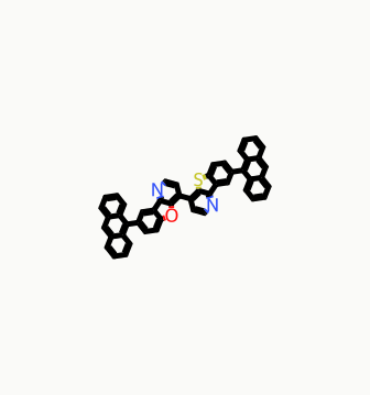 c1ccc2c(-c3ccc4oc5c(-c6ccnc7c6sc6ccc(-c8c9ccccc9cc9ccccc89)cc67)ccnc5c4c3)c3ccccc3cc2c1